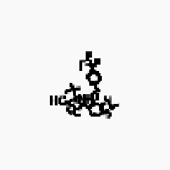 Cc1nc2c(OCc3ccc(C(F)(F)F)cc3)c(C(=O)N[C@H](C(=O)O)C(C)(C)C)ccc2s1